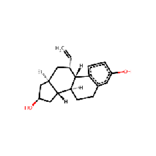 C=C[C@H]1C[C@]2(CC)C[C@H](O)C[C@H]2[C@@H]2CCc3cc(O)ccc3[C@H]21